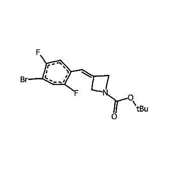 CC(C)(C)OC(=O)N1CC(=Cc2cc(F)c(Br)cc2F)C1